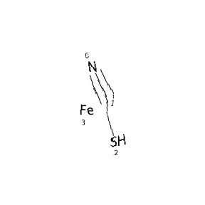 N#CS.[Fe]